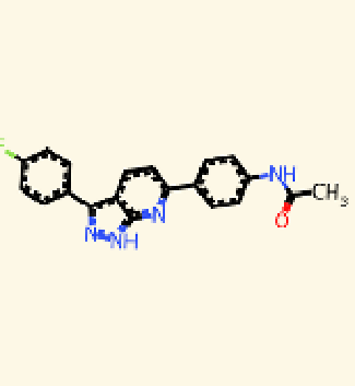 CC(=O)Nc1ccc(-c2ccc3c(-c4ccc(F)cc4)n[nH]c3n2)cc1